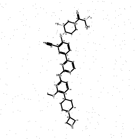 COc1nc(Nc2nccc(-c3ccc(O[C@H]4CCN(C(=O)[C@H](C)O)C[C@H]4F)c(C#N)c3)n2)ccc1C1CCN(C2COC2)CC1